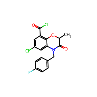 CC1Oc2c(C(=O)Cl)cc(Cl)cc2N(Cc2ccc(F)cc2)C1=O